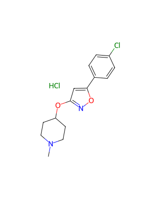 CN1CCC(Oc2cc(-c3ccc(Cl)cc3)on2)CC1.Cl